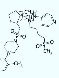 Cc1ccccc1N1CCN(S(=O)(=O)CC23CCC(C[C@@H]2N(CCCCS(C)(=O)=O)Nc2ccncc2)C3(C)C)CC1